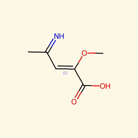 CO/C(=C\C(C)=N)C(=O)O